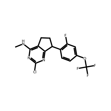 CNc1nc(Cl)nc2c1CCC2c1ccc(OC(F)(F)F)cc1F